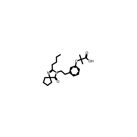 CCCCC1=NC2(CCCC2)C(=O)N1CCc1cccc(OC(C)(C)C(=O)O)c1